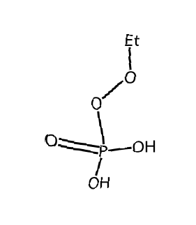 CCOOP(=O)(O)O